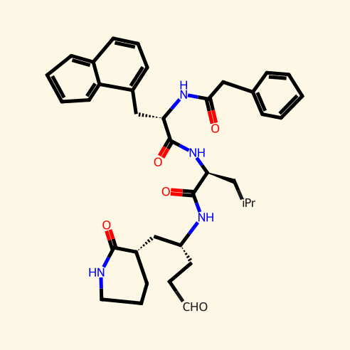 CC(C)C[C@H](NC(=O)[C@H](Cc1cccc2ccccc12)NC(=O)Cc1ccccc1)C(=O)N[C@H](CCC=O)C[C@@H]1CCCNC1=O